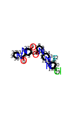 O=C(c1ccc(OC2CCN(C3CCN(c4ncc(Cl)cc4F)CC3)C2=O)cn1)N1CCCC1